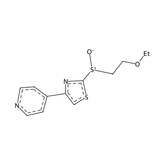 CCOCC[S+]([O-])c1nc(-c2ccncc2)cs1